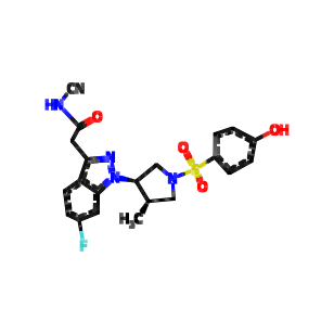 C[C@@H]1CN(S(=O)(=O)c2ccc(O)cc2)C[C@@H]1n1nc(CC(=O)NC#N)c2ccc(F)cc21